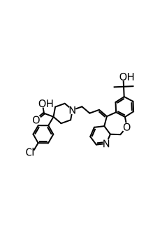 CC(C)(O)c1ccc2c(c1)/C(=C/CCN1CCC(C(=O)O)(c3ccc(Cl)cc3)CC1)C1C=CC=NC1CO2